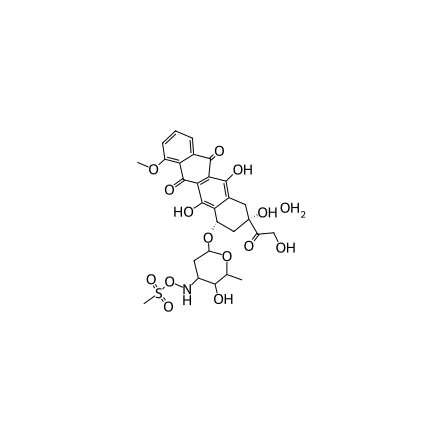 COc1cccc2c1C(=O)c1c(O)c3c(c(O)c1C2=O)C[C@@](O)(C(=O)CO)C[C@@H]3OC1CC(NOS(C)(=O)=O)C(O)C(C)O1.O